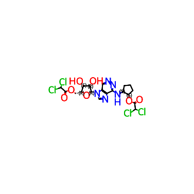 O=C(OC[C@H]1O[C@@H](n2cnc3c(N[C@H]4CCC[C@@H]4OC(=O)C(Cl)Cl)nncc32)[C@H](O)[C@@H]1O)C(Cl)Cl